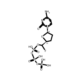 Nc1ccn([C@H]2CC[C@@H](C(F)OP(=O)(O)OP(=O)(O)OP(=O)(O)O)O2)c(=O)n1